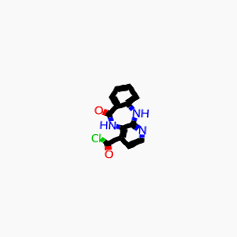 O=C1Nc2c(C(=O)Cl)ccnc2Nc2ccccc21